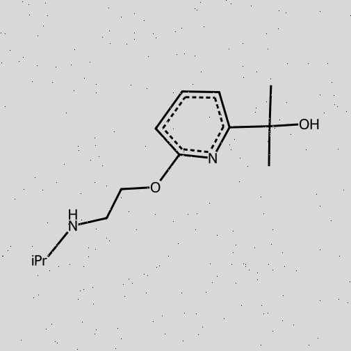 CC(C)NCCOc1cccc(C(C)(C)O)n1